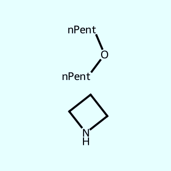 C1CNC1.CCCCCOCCCCC